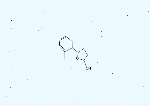 OC1CCC(c2ccccc2F)O1